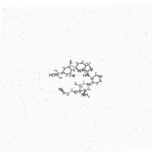 C[C@H]1CN(c2ccncc2Nc2ncc3ccc(-c4c(F)cc(C(C)(C)O)cc4F)nn23)C[C@@H](N)[C@H]1OCCC#N